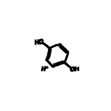 Oc1ccc(O)cc1.[H+]